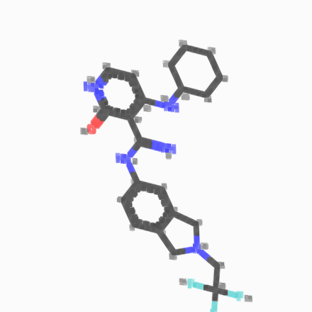 N=C(Nc1ccc2c(c1)CN(CC(F)(F)F)C2)c1c(NC2CCCCC2)cc[nH]c1=O